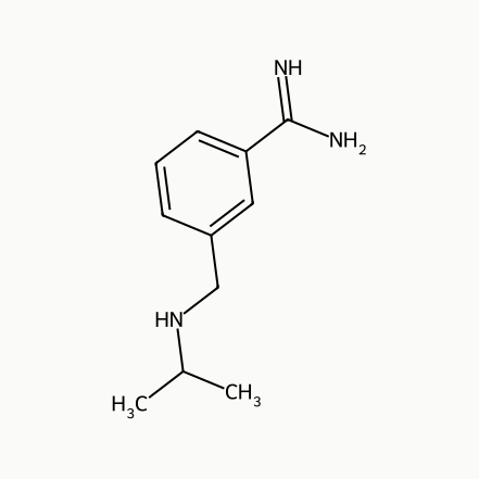 CC(C)NCc1cccc(C(=N)N)c1